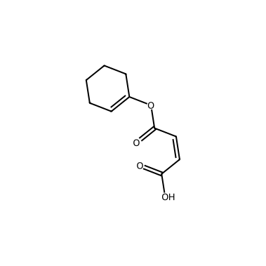 O=C(O)/C=C\C(=O)OC1=CCCCC1